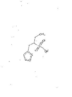 CCC(Cc1cccs1)S(=O)(=O)O